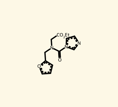 CCOC(=O)CN(Cc1ccco1)C(=O)n1ccnc1